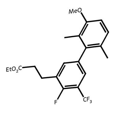 CCOC(=O)CCc1cc(-c2c(C)ccc(OC)c2C)cc(C(F)(F)F)c1F